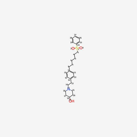 O=S(=O)(CCCCCCc1ccc(CCN2CCC(O)CC2)cc1)c1ccccc1